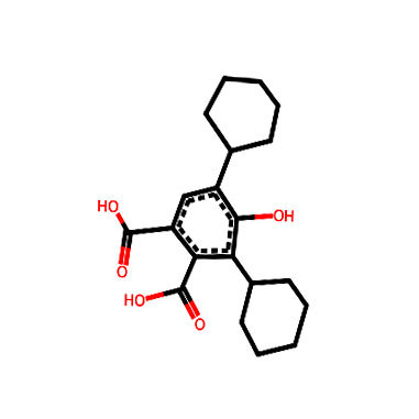 O=C(O)c1cc(C2CCCCC2)c(O)c(C2CCCCC2)c1C(=O)O